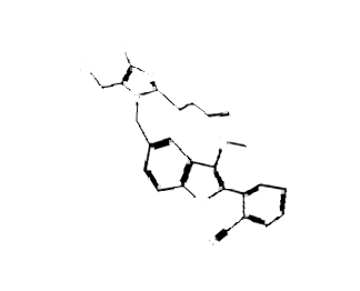 CCCCc1nc(Cl)c(CO)n1Cc1ccc2oc(-c3ccccc3C#N)c(OC)c2c1